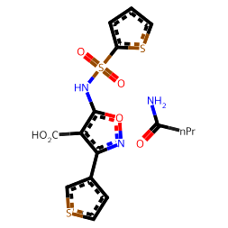 CCCC(N)=O.O=C(O)c1c(-c2ccsc2)noc1NS(=O)(=O)c1cccs1